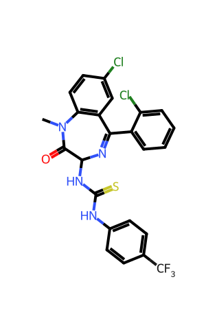 CN1C(=O)C(NC(=S)Nc2ccc(C(F)(F)F)cc2)N=C(c2ccccc2Cl)c2cc(Cl)ccc21